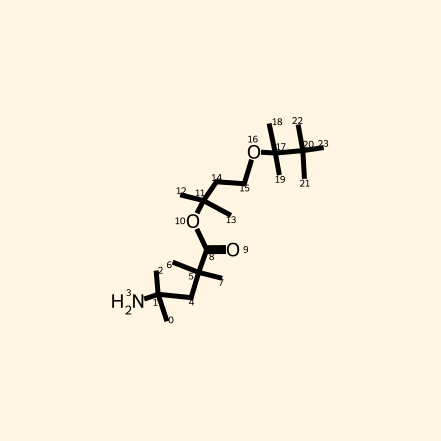 CC(C)(N)CC(C)(C)C(=O)OC(C)(C)CCOC(C)(C)C(C)(C)C